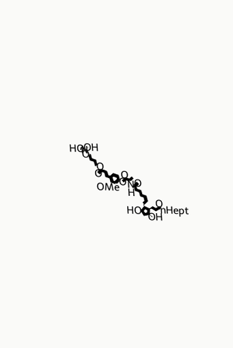 CCCCCCCC(=O)CC[C@@H]1[C@@H](C/C=C\CCCC(=O)NC(C)C(=O)Oc2ccc(/C=C/C(=O)OCCCCON(O)O)cc2OC)[C@@H](O)C[C@H]1O